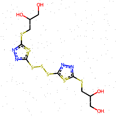 OCC(O)CSc1nnc(SSSc2nnc(SCC(O)CO)s2)s1